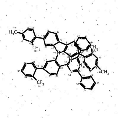 Cc1ccc(-c2ccc3c4ccc(-c5ccc(C)cc5C)cc4n(-c4cc(-c5ccccc5C(F)(F)F)ccc4-c4nc(-c5ccccc5)nc(-c5ccccc5)n4)c3c2)c(C)c1